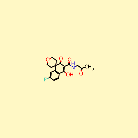 CC(=O)CNC(=O)C1=C(O)c2ccc(F)cc2C2(CCOCC2)C1=O